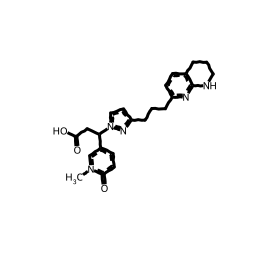 Cn1cc(C(CC(=O)O)n2ccc(CCCc3ccc4c(n3)NCCC4)n2)ccc1=O